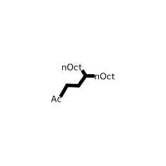 CCCCCCCCC(CCCCCCCC)CCC(C)=O